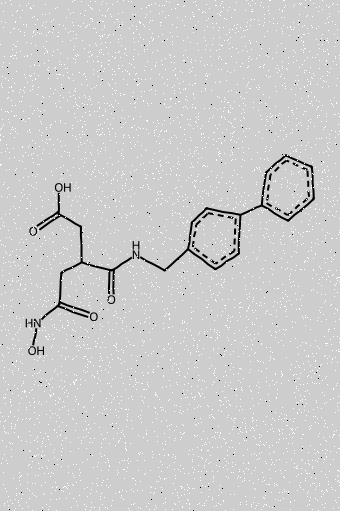 O=C(O)CC(CC(=O)NO)C(=O)NCc1ccc(-c2ccccc2)cc1